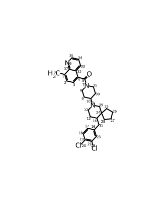 Cc1ccc(C(=O)N2CCC(N3CCC(Cc4ccc(Cl)c(Cl)c4)C4(CCCC4)C3)CC2)c2cccnc12